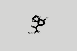 COC(=O)C(F)c1ccc(Cl)c2nccnc12